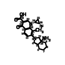 Cc1c(N2CC3CCCCC3(N)C2)ccc2c(=O)c(C(=O)O)cn([C@@H]3C[C@@H]3F)c12